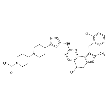 CC(=O)N1CCC(N2CCC(n3cc(Nc4ncc5c(n4)-c4c(nn(C)c4Cc4ccccc4Cl)CC5C)cn3)CC2)CC1